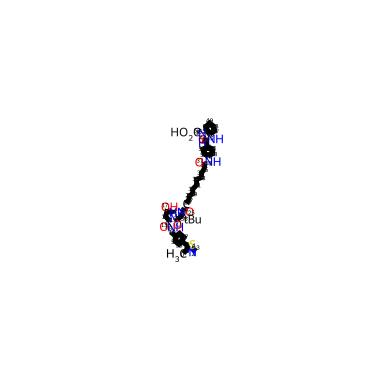 Cc1ncsc1-c1ccc(CNC(=O)[C@@H]2C[C@H](O)CN2C(=O)C(NC(=O)CCCCCCCCCCC(=O)Nc2ccc(C(=O)Nc3ccccc3NC(=O)O)cc2)C(C)(C)C)cc1